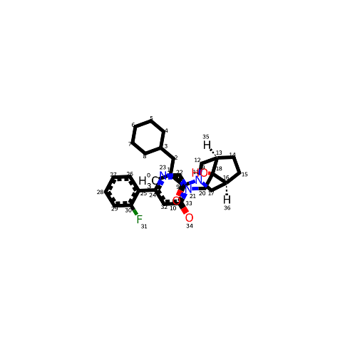 CC(CC1CCCCC1)C(=O)N1C[C@H]2CC[C@@H](C1)C2(O)Cn1cnc(-c2ccccc2F)cc1=O